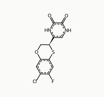 O=c1[nH]cc([C@@H]2COc3cc(Cl)c(F)cc3S2)[nH]c1=O